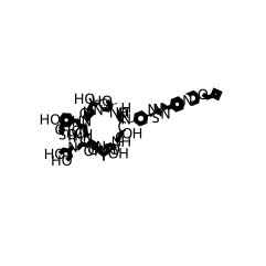 C[C@@H](O)C1NC(=O)[C@@H](NC[C@H]2CC[C@H](c3nn4cc(-c5ccc(N6CCC(OCC7CCC7)CC6)cc5)nc4s3)CC2)C[C@@H](O)CNC(=O)[C@@H]2[C@@H](O)[C@@H](C)CN2C(=O)[C@H]([C@H](O)CCNC(CO)CO)NC(=O)[C@H]([C@H](O)Cc2ccc(O)c(OS(=O)(=O)O)c2)NC(=O)[C@@H]2C[C@@H](O)CN2C1=O